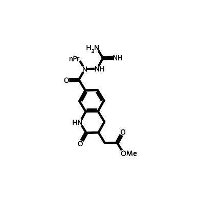 CCCN(NC(=N)N)C(=O)c1ccc2c(c1)NC(=O)C(CC(=O)OC)C2